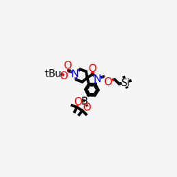 CC(C)(C)OC(=O)N1CCC2(CC1)C(=O)N(COCC[Si](C)(C)C)c1ccc(B3OC(C)(C)C(C)(C)O3)cc12